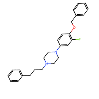 Fc1cc(N2CCN(CCCc3ccccc3)CC2)ccc1OCc1ccccc1